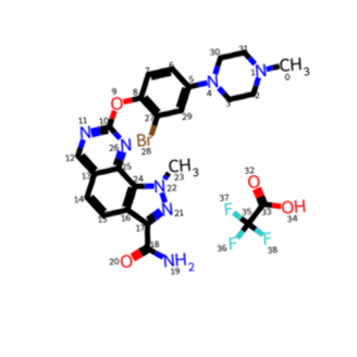 CN1CCN(c2ccc(Oc3ncc4ccc5c(C(N)=O)nn(C)c5c4n3)c(Br)c2)CC1.O=C(O)C(F)(F)F